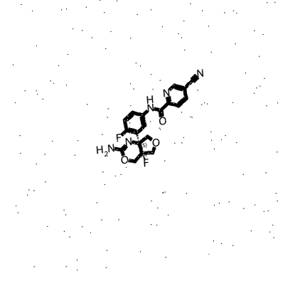 N#Cc1ccc(C(=O)Nc2ccc(F)c([C@]34COC[C@@]3(F)COC(N)=N4)c2)nc1